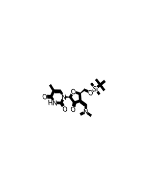 Cc1cn([C@H]2O[C@@H](CO[Si](C)(C)C(C)(C)C)C(=CN(C)C)C2=O)c(=O)[nH]c1=O